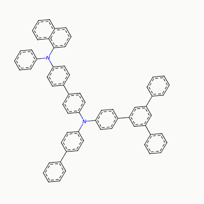 c1ccc(-c2ccc(N(c3ccc(-c4ccc(N(c5ccccc5)c5cccc6ccccc56)cc4)cc3)c3ccc(-c4cc(-c5ccccc5)cc(-c5ccccc5)c4)cc3)cc2)cc1